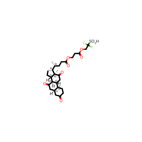 C[C@H](CCC(=O)OCCC(=O)OCC(F)(F)S(=O)(=O)O)[C@H]1CC[C@H]2[C@@H]3C(=O)C[C@@H]4CC(=O)CC[C@]4(C)[C@H]3CC(=O)[C@]12C